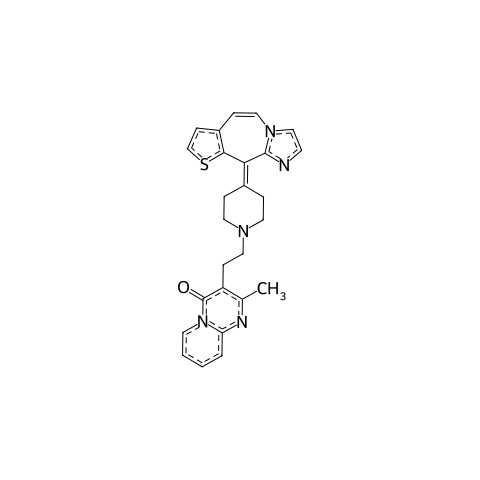 Cc1nc2ccccn2c(=O)c1CCN1CCC(=C2c3sccc3C=Cn3ccnc32)CC1